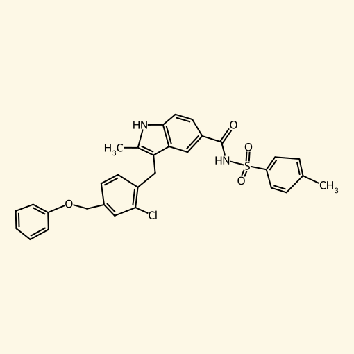 Cc1ccc(S(=O)(=O)NC(=O)c2ccc3[nH]c(C)c(Cc4ccc(COc5ccccc5)cc4Cl)c3c2)cc1